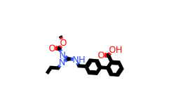 CCCN1C(NCc2ccc(-c3ccccc3C(=O)O)cc2)N1C(=O)OC